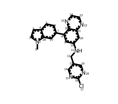 Cn1ccc2ccc(-c3cc(NCc4cnc(Cl)nc4)cc4nccnc34)cc21